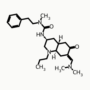 CCCN1C[C@@H](NC(=O)N(C)CCc2ccccc2)C[C@@H]2CC(=O)C(=CN(C)C)C[C@H]21